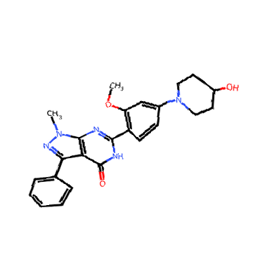 COc1cc(N2CCC(O)CC2)ccc1-c1nc2c(c(-c3ccccc3)nn2C)c(=O)[nH]1